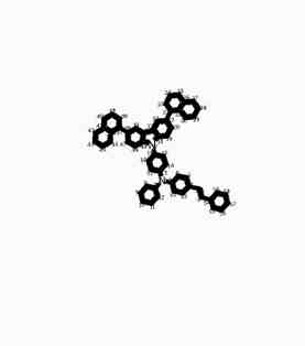 C(=C\c1ccc(N(c2ccccc2)c2ccc(-n3c4ccc(-c5cccc6ccccc56)cc4c4cc(-c5cccc6ccccc56)ccc43)cc2)cc1)/c1ccccc1